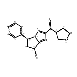 O=C(c1nc2n(n1)[C@H](c1ccccc1)C[C@@H]2F)C1CCOC1